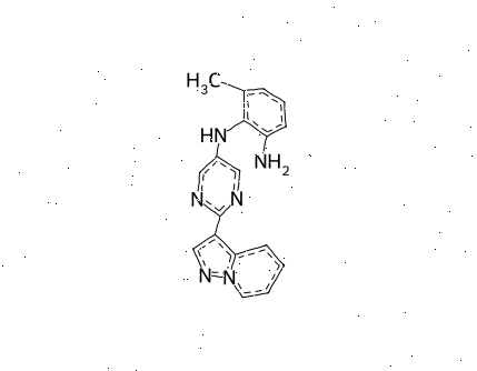 Cc1cccc(N)c1Nc1cnc(-c2cnn3ccccc23)nc1